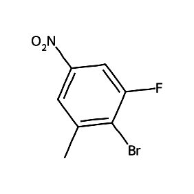 Cc1cc([N+](=O)[O-])cc(F)c1Br